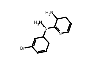 NC1CC=CN=C1N(N)C1C=C(Br)C=CC1